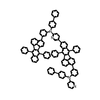 c1ccc(-c2ccc(N(c3cccnc3)c3cccc(-c4ccc5c6c(cccc46)-c4c-5c(-c5ccccc5)c5ccc(-c6ccc(N(c7ccc(-c8ccccc8)cc7)c7cccc(-c8ccc9c%10c(cccc8%10)-c8c-9c(-c9ccccc9)c9ccccc9c8-c8ccccc8)c7)nc6)cc5c4-c4ccccc4)c3)cc2)cc1